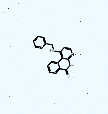 O=c1[nH]c2nccc(NCc3ccccc3)c2c2ccccc12